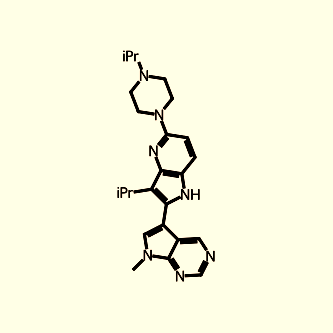 CC(C)c1c(-c2cn(C)c3ncncc23)[nH]c2ccc(N3CCN(C(C)C)CC3)nc12